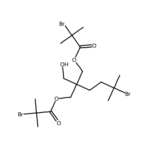 CC(C)(Br)CCC(CO)(COC(=O)C(C)(C)Br)COC(=O)C(C)(C)Br